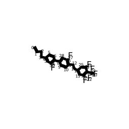 C=CCCc1ccc(-c2ccc(CCc3cc(F)c(C(F)(F)F)c(F)c3)c(F)c2)c(F)c1